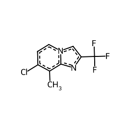 Cc1c(Cl)ccn2cc(C(F)(F)F)nc12